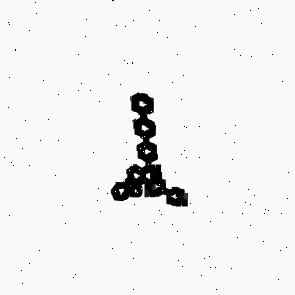 c1ccc(-c2ccc(-c3ccc(-c4nc5cc(-c6ccncc6)cnc5c5c4ccc4c6ccccc6oc45)cc3)cc2)cc1